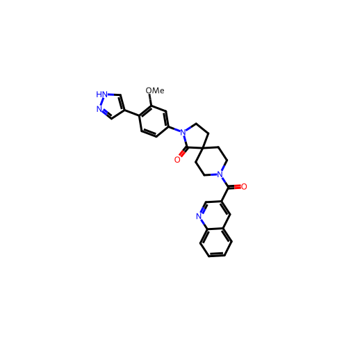 COc1cc(N2CCC3(CCN(C(=O)c4cnc5ccccc5c4)CC3)C2=O)ccc1-c1cn[nH]c1